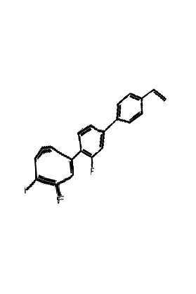 C=Cc1ccc(-c2ccc(-c3ccc(I)c(F)c3)c(F)c2)cc1